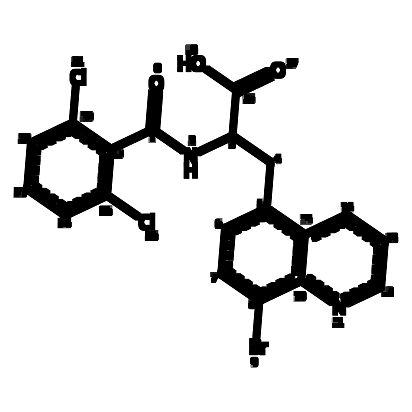 O=C(NC(Cc1ccc(Br)c2ncccc12)C(=O)O)c1c(Cl)cccc1Cl